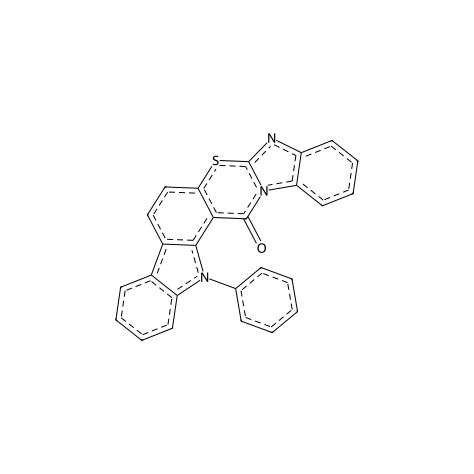 O=c1c2c(ccc3c4ccccc4n(-c4ccccc4)c32)sc2nc3ccccc3n12